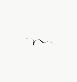 CNC(=O)/C=C/CO